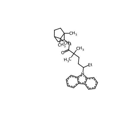 CCC(CCC(C)(C)C(=O)OC1CC2CCC1(C)C2(C)C)n1c2ccccc2c2ccccc21